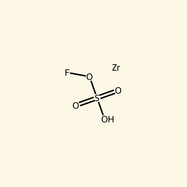 O=S(=O)(O)OF.[Zr]